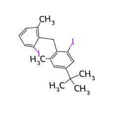 Cc1cccc(I)c1Cc1c(C)cc(C(C)(C)C)cc1I